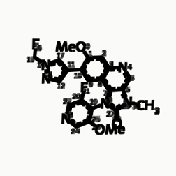 COc1cc2ncc3c(c2cc1-c1cnn(CF)c1)n(-c1c(F)cncc1OC)c(=O)n3C